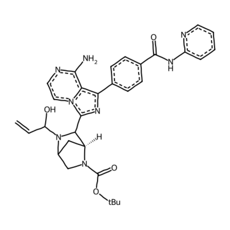 C=CC(O)N1C2C[C@@H](C1c1nc(-c3ccc(C(=O)Nc4ccccn4)cc3)c3c(N)nccn13)N(C(=O)OC(C)(C)C)C2